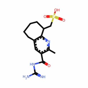 Cc1nc2c(cc1C(=O)NC(=N)N)CCCCC2CS(=O)(=O)O